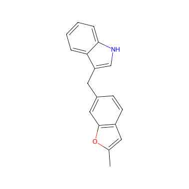 Cc1cc2ccc(Cc3c[nH]c4ccccc34)cc2o1